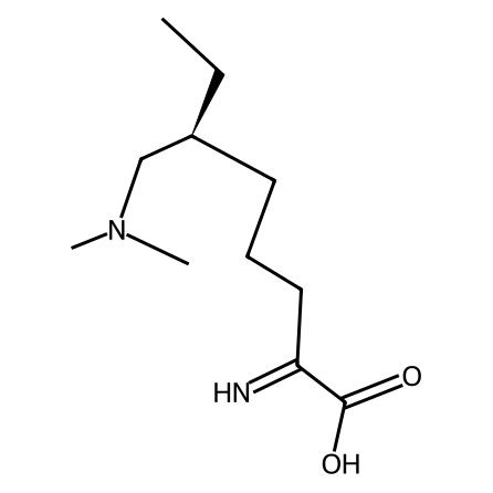 CC[C@@H](CCCC(=N)C(=O)O)CN(C)C